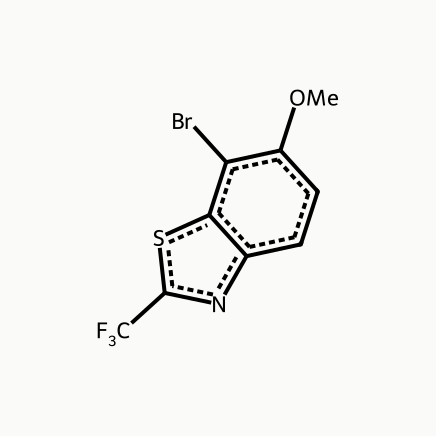 COc1ccc2nc(C(F)(F)F)sc2c1Br